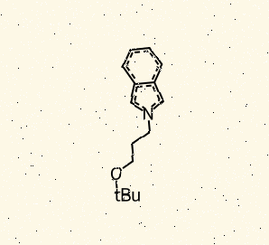 CC(C)(C)OCCCn1cc2ccccc2c1